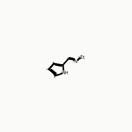 [CH2]CN=Cc1ccc[nH]1